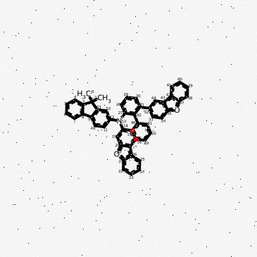 CC1(C)c2ccccc2-c2ccc(N(c3ccc4c(c3)oc3ccccc34)c3cccc(-c4ccc5oc6ccccc6c5c4)c3-c3ccccc3)cc21